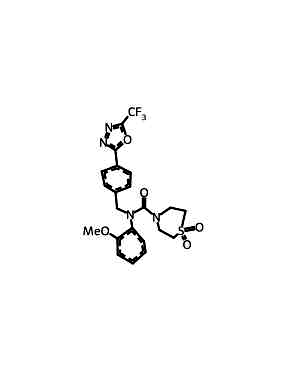 COc1ccccc1N(Cc1ccc(-c2nnc(C(F)(F)F)o2)cc1)C(=O)N1CCS(=O)(=O)CC1